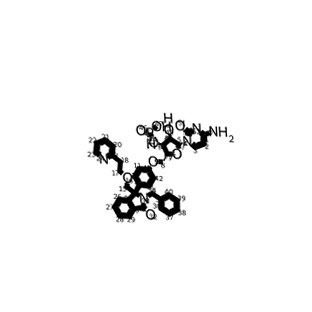 Nc1ccn([C@@H]2O[C@H](COc3ccc(C4(COCCc5ccccn5)c5ccccc5C(=O)N4Cc4ccccc4)cc3)[C@@H](O[PH](=O)O)[C@H]2O)c(=O)n1